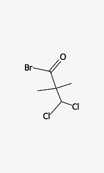 CC(C)(C(=O)Br)C(Cl)Cl